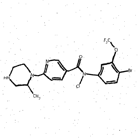 CC1CNCCN1c1ccc(C(=O)N(Cl)c2ccc(Br)c(OC(F)(F)F)c2)cn1